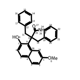 COc1ccc2ccc(O)c(C(Cc3ccccc3)(Cc3ccccc3)C(N)=O)c2c1